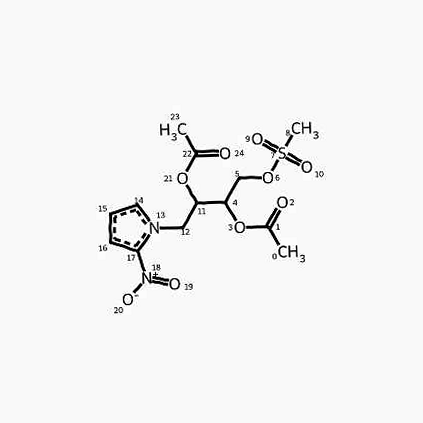 CC(=O)OC(COS(C)(=O)=O)C(Cn1cccc1[N+](=O)[O-])OC(C)=O